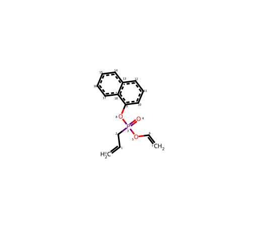 C=CCP(=O)(OC=C)Oc1cccc2ccccc12